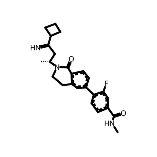 CNC(=O)c1ccc(-c2ccc3c(c2)CCN([C@H](C)CC(=N)C2CCC2)C3=O)c(F)c1